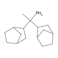 CC(P)(C1CC2CCC1C2)C1CC2CCC1C2